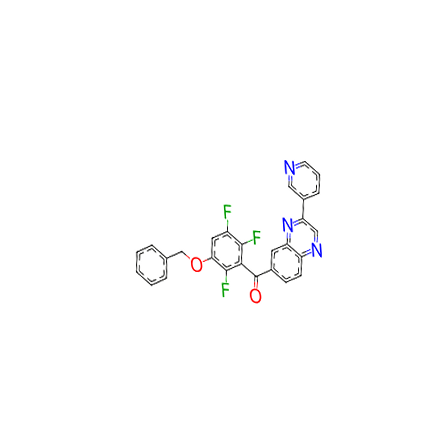 O=C(c1ccc2ncc(-c3cccnc3)nc2c1)c1c(F)c(F)cc(OCc2ccccc2)c1F